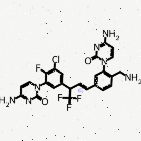 NCc1ccc(/C=C/C(c2cc(Cl)c(F)c(-n3ccc(N)nc3=O)c2)C(F)(F)F)cc1-n1ccc(N)nc1=O